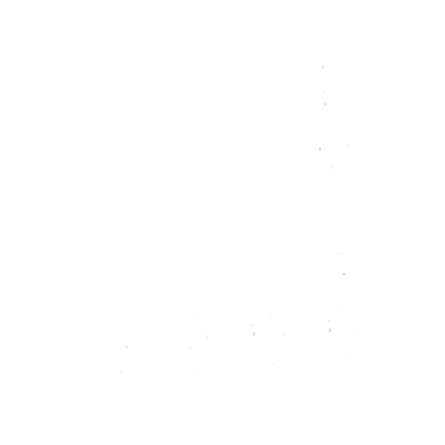 Cc1cc(P)cc(C)c1C.Cc1cc(P)cc(C)c1C.Cc1cc(P)cc(C)c1C.Cc1cc(P)cc(C)c1C.Cc1cc(P)cc(C)c1C.Cc1cc(P)cc(C)c1C.Cl.Cl.Cl.Cl.[Co]